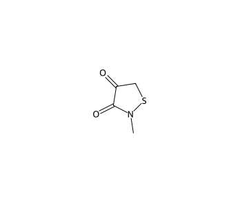 CN1SCC(=O)C1=O